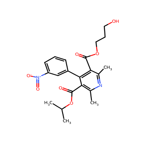 Cc1nc(C)c(C(=O)OC(C)C)c(-c2cccc([N+](=O)[O-])c2)c1C(=O)OCCCO